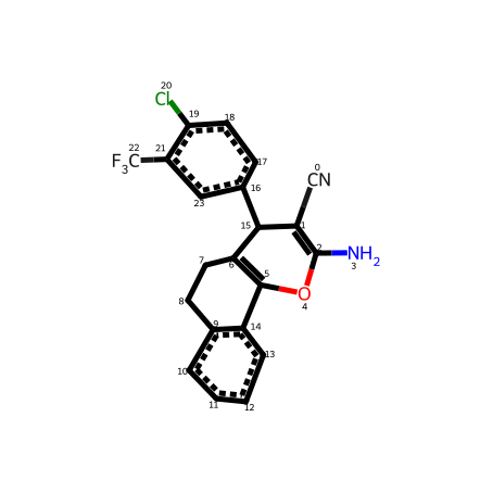 N#CC1=C(N)OC2=C(CCc3ccccc32)C1c1ccc(Cl)c(C(F)(F)F)c1